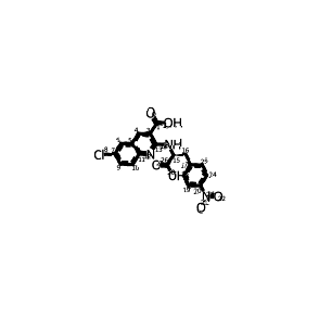 O=C(O)c1cc2cc(Cl)ccc2nc1N[C@@H](Cc1ccc([N+](=O)[O-])cc1)C(=O)O